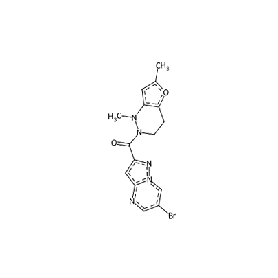 Cc1cc2c(o1)CCN(C(=O)c1cc3ncc(Br)cn3n1)N2C